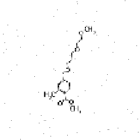 COCCOCCCOCc1ccc(C(=O)OC)c(C)c1